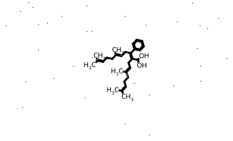 CC(C)=CCC/C(C)=C/CC(=C(C/C=C(\C)CCC=C(C)C)C(O)O)c1ccccc1